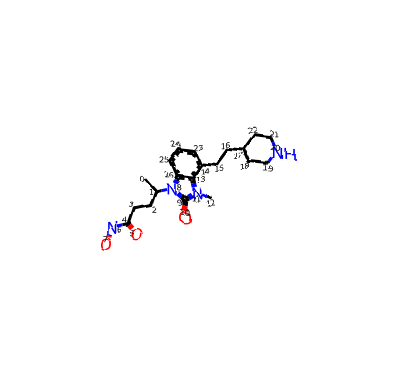 CC(CCC(=O)N=O)n1c(=O)n(C)c2c(CCC3CCNCC3)cccc21